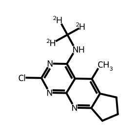 [2H]C([2H])([2H])Nc1nc(Cl)nc2nc3c(c(C)c12)CCC3